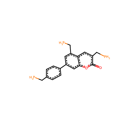 O=c1oc2cc(-c3ccc(CP)cc3)cc(CP)c2cc1CP